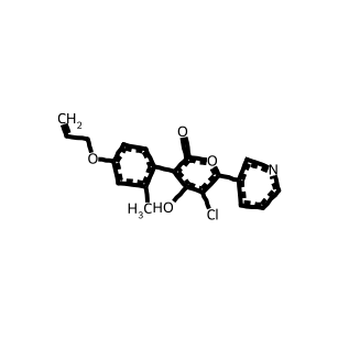 C=CCOc1ccc(-c2c(O)c(Cl)c(-c3cccnc3)oc2=O)c(C)c1